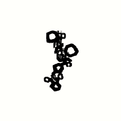 CCC(CC)(N[C@H]1CCCCCC[C@H]1C(=O)C(C)(CC)N1C(=O)[C@@H]2CCCCCC[C@@H]21)C(=O)c1ccc(CN2C(=O)c3ccccc3C2=O)cc1